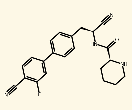 N#Cc1ccc(-c2ccc(C[C@@H](C#N)NC(=O)[C@@H]3CCCCN3)cc2)cc1F